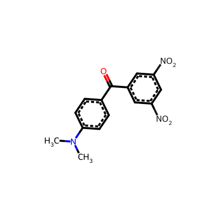 CN(C)c1ccc(C(=O)c2cc([N+](=O)[O-])cc([N+](=O)[O-])c2)cc1